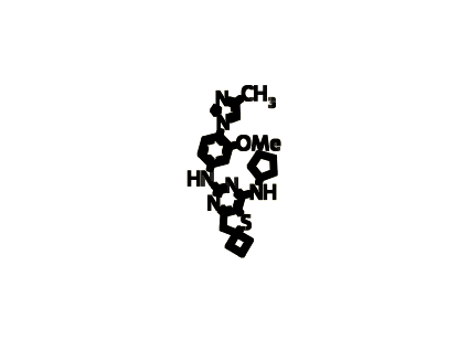 COc1cc(Nc2nc3c(c(NC4CCCC4)n2)SC2(CCC2)C3)ccc1-n1cnc(C)c1